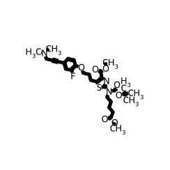 COC(=O)CCCCN(C(=O)OC(C)(C)C)c1nc(C(=O)OC)c(CCCOc2ccc(C#CCN(C)C)cc2F)s1